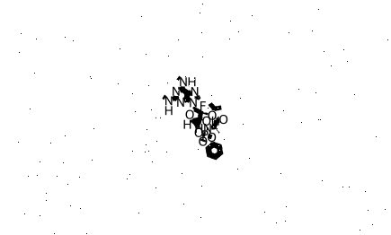 CNc1nc(NC)c2ncn([C@@H]3O[C@@H]4C(O[P@](=O)(N[C@@H](C)C(=O)OC(C)C)Oc5ccccc5)[C@]4(O)[C@@]3(C)F)c2n1